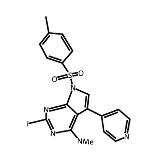 CNc1nc(I)nc2c1c(-c1ccncc1)cn2S(=O)(=O)c1ccc(C)cc1